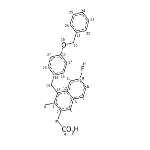 Cc1c(CC(=O)O)cc2ccc(F)cc2c1Cc1ccc(OCc2ccccc2)cc1